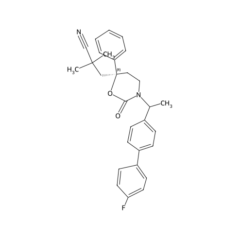 CC(c1ccc(-c2ccc(F)cc2)cc1)N1CC[C@](CC(C)(C)C#N)(c2ccccc2)OC1=O